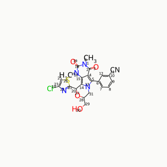 Cn1c(=O)c2c(-c3cccc(C#N)c3)n3c(c2n(C)c1=O)C(c1nc(Cl)cs1)OC(CO)C3